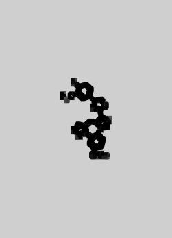 COc1ccc2c(c1)-n1nncc1Cc1c(C3=N[C@@H](C4=CCC(F)C(C(F)(F)F)=C4)CO3)ncn1-2